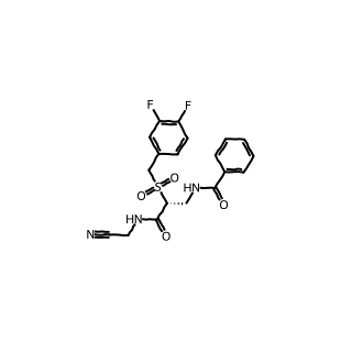 N#CCNC(=O)[C@@H](CNC(=O)c1ccccc1)S(=O)(=O)Cc1ccc(F)c(F)c1